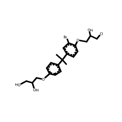 CC(C)(c1ccc(OCC(O)CO)cc1)c1ccc(OCC(O)CCl)c(Br)c1